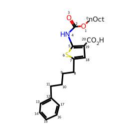 CCCCCCCCOC(=O)Nc1sc(CCCCc2ccccc2)cc1C(=O)O